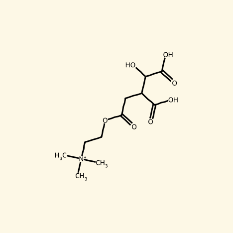 C[N+](C)(C)CCOC(=O)CC(C(=O)O)C(O)C(=O)O